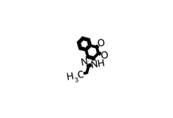 CCc1nc2c([nH]1)C(=O)C(=O)c1ccccc1-2